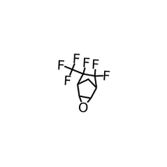 FC(F)(F)C1(F)C2CC(C3OC32)C1(F)F